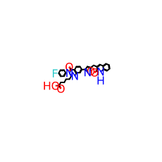 O=C(O)CCCCc1nc2cc(-c3cc(Cc4cc5ccccc5[nH]c4=O)on3)ccc2c(=O)n1-c1ccc(F)cc1